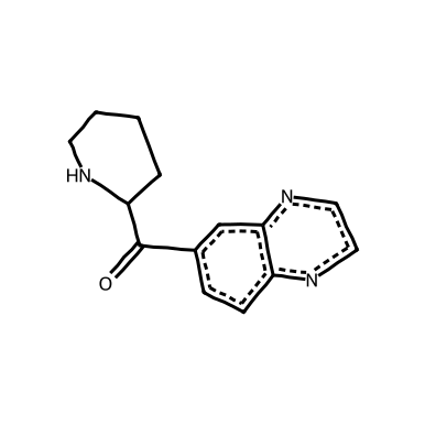 O=C(c1ccc2nccnc2c1)C1CCCCN1